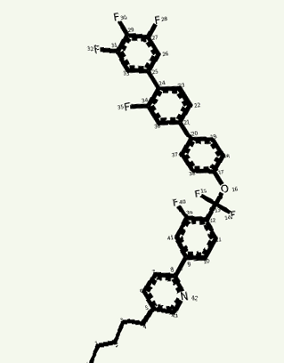 CCCCCc1ccc(-c2ccc(C(F)(F)Oc3ccc(-c4ccc(-c5cc(F)c(F)c(F)c5)c(F)c4)cc3)c(F)c2)nc1